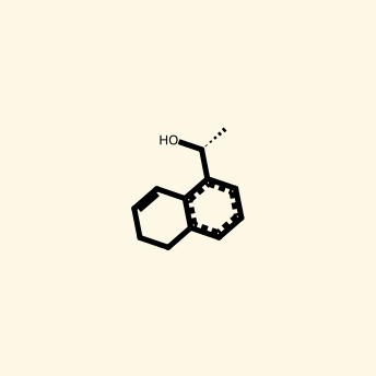 C[C@@H](O)c1cccc2c1C=CCC2